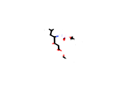 CCOC(=O)CC(O)C(CC(C)C)NC(=O)OC(C)(C)C